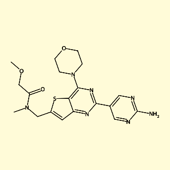 COCC(=O)N(C)Cc1cc2nc(-c3cnc(N)nc3)nc(N3CCOCC3)c2s1